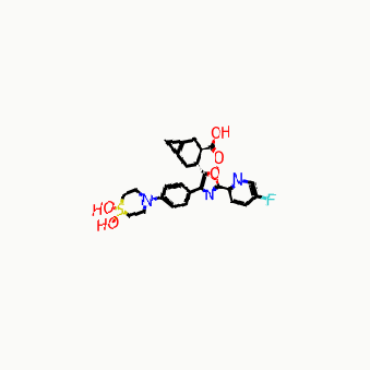 O=C(O)[C@@H]1CC2CC2C[C@H]1c1oc(-c2ccc(F)cn2)nc1-c1ccc(N2CCS(O)(O)CC2)cc1